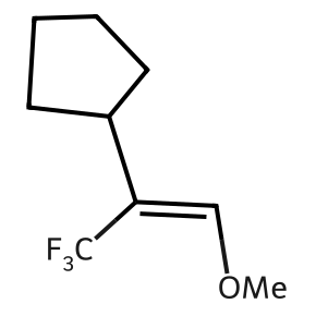 COC=C(C1CCCC1)C(F)(F)F